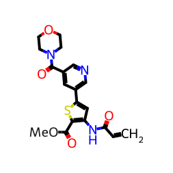 C=CC(=O)Nc1cc(-c2cncc(C(=O)N3CCOCC3)c2)sc1C(=O)OC